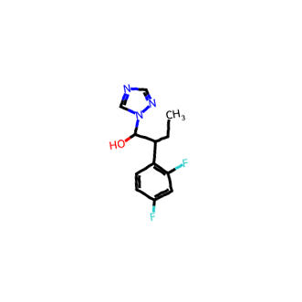 CCC(c1ccc(F)cc1F)C(O)n1cncn1